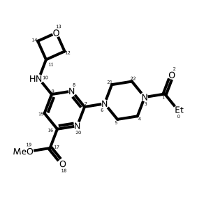 CCC(=O)N1CCN(c2nc(NC3COC3)cc(C(=O)OC)n2)CC1